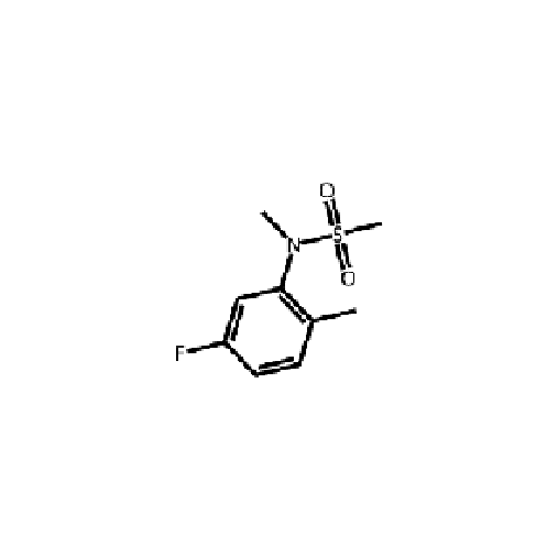 Cc1ccc(F)cc1N(C)S(C)(=O)=O